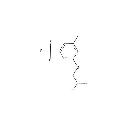 Cc1cc(OCC(F)F)cc(C(F)(F)F)c1